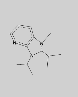 CC(C)C1N(C)c2cccnc2N1C(C)C